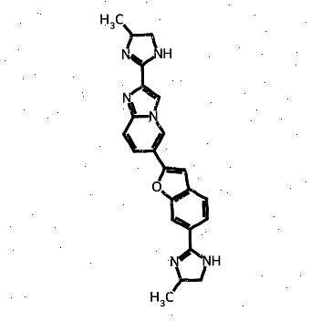 CC1CNC(c2ccc3cc(-c4ccc5nc(C6=NC(C)CN6)cn5c4)oc3c2)=N1